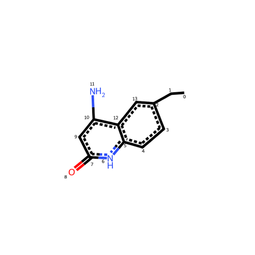 CCc1ccc2[nH]c(=O)cc(N)c2c1